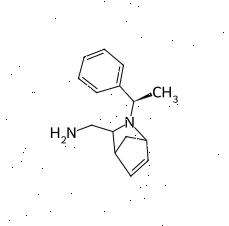 C[C@H](c1ccccc1)N1C2C=CC(C2)C1CN